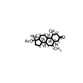 CC(=O)O[C@]1(C(C)=O)CC[C@H]2[C@@H]3C[C@H](C)[C@@H]4CC(=O)C[C@@H](C)[C@@H]4[C@H]3CC[C@@]21C